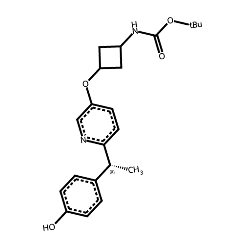 C[C@H](c1ccc(O)cc1)c1ccc(OC2CC(NC(=O)OC(C)(C)C)C2)cn1